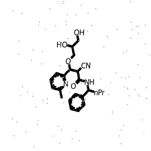 CCCC(NC(=O)C(C#N)C(OCC(O)CO)c1cccc(C)n1)c1ccccc1